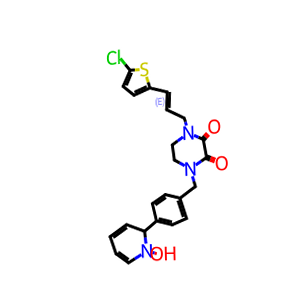 O=C1C(=O)N(Cc2ccc(C3C=CC=CN3O)cc2)CCN1C/C=C/c1ccc(Cl)s1